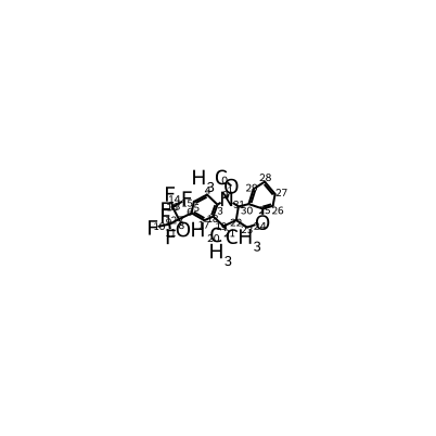 CON1c2ccc(C(O)(C(F)(F)F)C(F)(F)F)cc2C(C)(C)C2COc3ccccc3C21